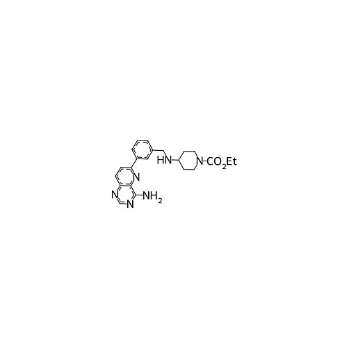 CCOC(=O)N1CCC(NCc2cccc(-c3ccc4ncnc(N)c4n3)c2)CC1